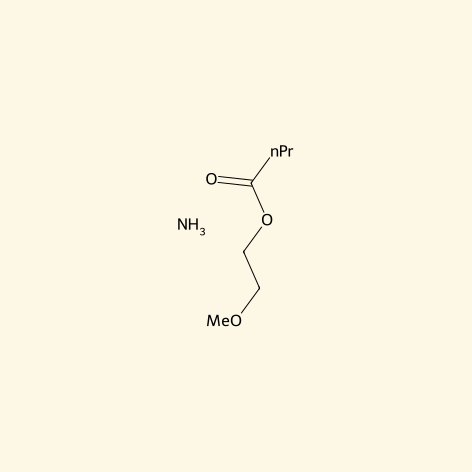 CCCC(=O)OCCOC.N